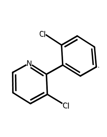 Clc1cc[c]cc1-c1ncccc1Cl